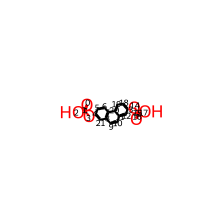 O=C(O)Oc1ccc2c(ccc3cc(OC(=O)O)ccc32)c1